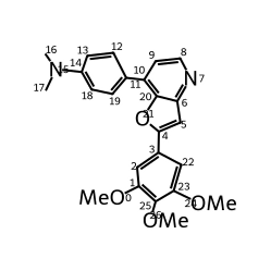 COc1cc(-c2cc3nccc(-c4ccc(N(C)C)cc4)c3o2)cc(OC)c1OC